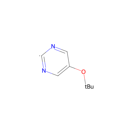 CC(C)(C)Oc1cn[c]nc1